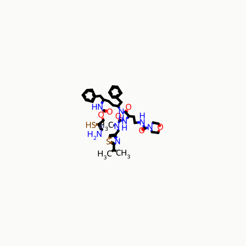 CC(C)c1nc(CN(C)C(=O)NC(CCNC(=O)N2CCOCC2)C(=O)NC(CCC(Cc2ccccc2)NC(=O)OC/C(S)=C/N)Cc2ccccc2)cs1